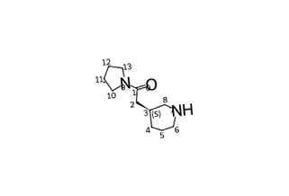 O=C(C[C@@H]1CCCNC1)N1C[CH]CC1